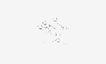 COCOc1cc(OC)cc(C2CC2C[C@@H]2OC(C)(C)O[C@@H]2C(/C=C\C[C@H](C)CC(C)(C)[Si](O)(c2ccccc2)c2ccccc2)OC(=O)c2ccccc2)c1C(=O)OCC[Si](C)(C)C